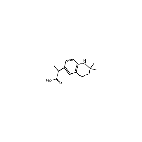 CC(C(=O)O)c1ccc2c(c1)CCC(C)(C)N2